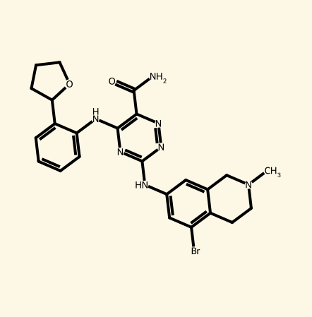 CN1CCc2c(Br)cc(Nc3nnc(C(N)=O)c(Nc4ccccc4C4CCCO4)n3)cc2C1